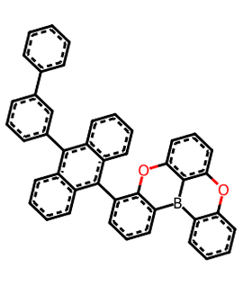 c1ccc(-c2cccc(-c3c4ccccc4c(-c4cccc5c4Oc4cccc6c4B5c4ccccc4O6)c4ccccc34)c2)cc1